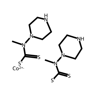 CN(C(=S)[S-])N1CCNCC1.CN(C(=S)[S-])N1CCNCC1.[Co+2]